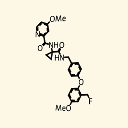 COc1ccnc(C(=O)NC2(C(=O)NCc3ccc(Oc4ccc(OC)cc4CF)cc3)CC2)c1